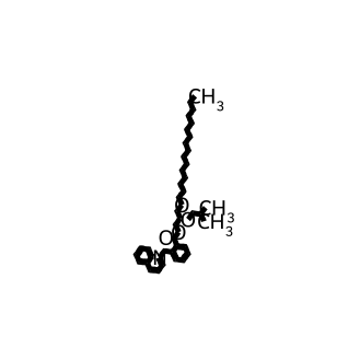 CCCCCCCCCCCCCCCCOCC(COC(=O)c1ccccc1C[n+]1cccc2ccccc21)OCC(C)C